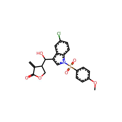 C=C1C(=O)OCC1C(O)c1cn(S(=O)(=O)c2ccc(OC)cc2)c2ccc(Cl)cc12